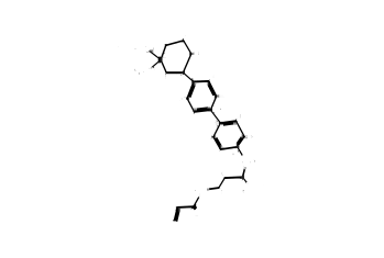 C=CC(=O)OCCC(CCC)Oc1ccc(-c2ccc(C3CCCC(C#N)(CCCCCCCC)C3)cc2)cc1